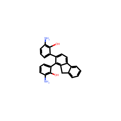 Nc1cccc(-c2ccc3c(c2-c2cccc(N)c2O)Cc2ccccc2-3)c1O